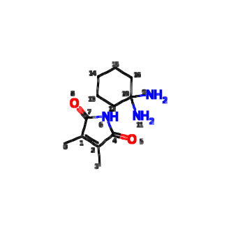 CC1=C(C)C(=O)NC1=O.NC1(N)CCCCC1